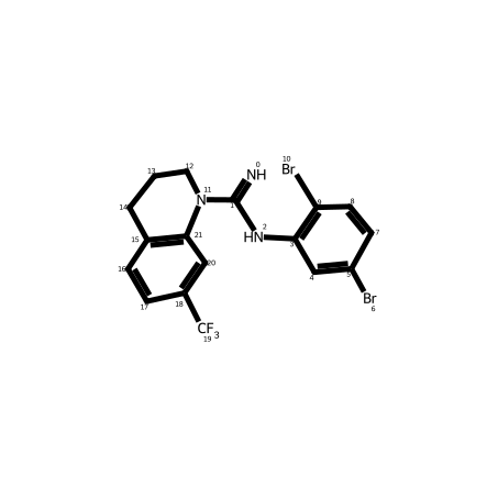 N=C(Nc1cc(Br)ccc1Br)N1CCCc2ccc(C(F)(F)F)cc21